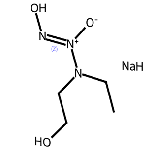 CCN(CCO)/[N+]([O-])=N/O.[NaH]